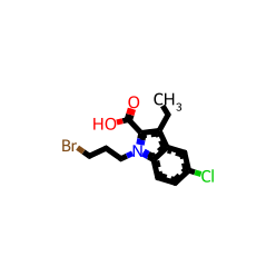 CCc1c(C(=O)O)n(CCCBr)c2ccc(Cl)cc12